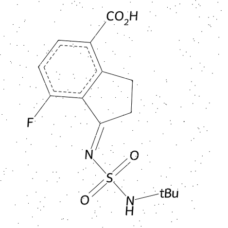 CC(C)(C)NS(=O)(=O)N=C1CCc2c(C(=O)O)ccc(F)c21